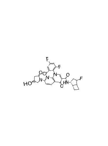 O=C(NC1CC(F)C2CCC12)c1cn(-c2c(F)cc(F)cc2Cl)c2nc(N3C[C@@H](O)CC3=O)ccc2c1=O